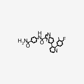 Cc1cc(-c2ncccc2-c2ccc3ncc(C(=O)Nc4ccc(C(N)=O)cc4)n3c2)ccc1F